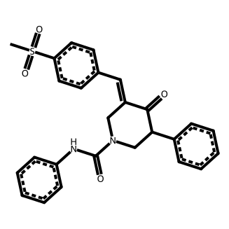 CS(=O)(=O)c1ccc(/C=C2\CN(C(=O)Nc3ccccc3)CC(c3ccccc3)C2=O)cc1